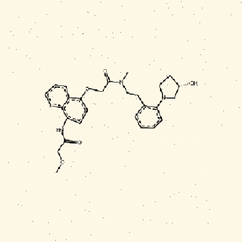 COCC(=O)Nc1ccc(OCC(=O)N(C)CCc2ccccc2N2CC[C@H](O)C2)c2cccnc12